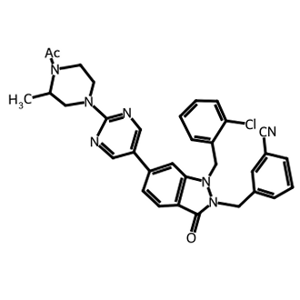 CC(=O)N1CCN(c2ncc(-c3ccc4c(=O)n(Cc5cccc(C#N)c5)n(Cc5ccccc5Cl)c4c3)cn2)CC1C